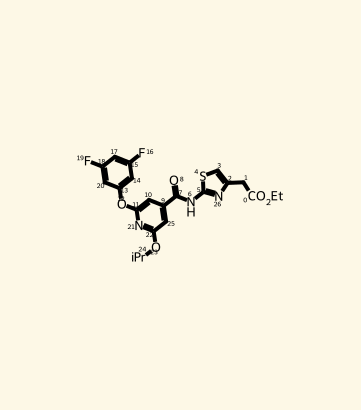 CCOC(=O)Cc1csc(NC(=O)c2cc(Oc3cc(F)cc(F)c3)nc(OC(C)C)c2)n1